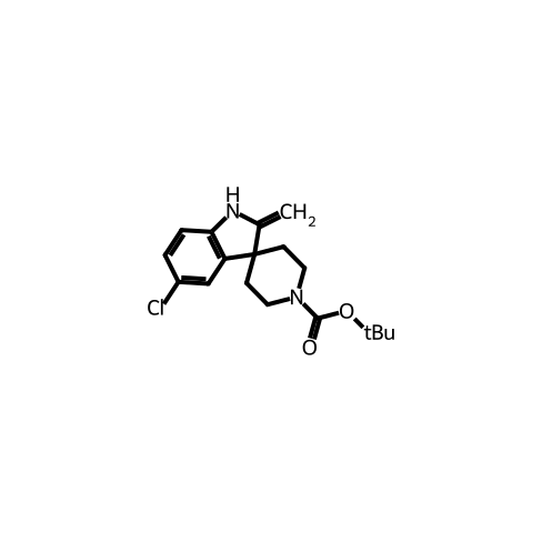 C=C1Nc2ccc(Cl)cc2C12CCN(C(=O)OC(C)(C)C)CC2